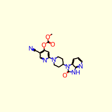 COC(=O)Oc1cc(N2CCC(n3c(=O)[nH]c4ncccc43)CC2)ncc1C#N